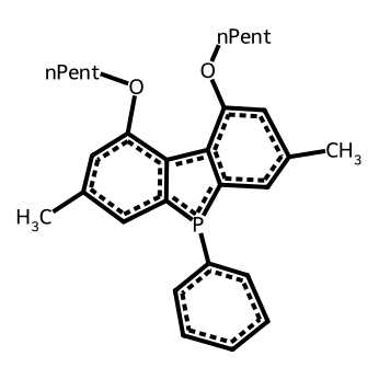 CCCCCOc1cc(C)cc2c1c1c(OCCCCC)cc(C)cc1p2-c1ccccc1